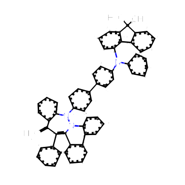 C=C1C(c2ccccc2)=C2c3ccccc3-c3ccccc3N2N(c2ccc(-c3ccc(N(c4ccccc4)c4cccc5c4-c4ccccc4C5(C)C)cc3)cc2)c2ccccc21